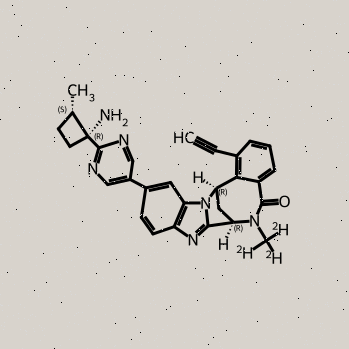 [2H]C([2H])([2H])N1C(=O)c2cccc(C#C)c2[C@H]2C[C@@H]1c1nc3ccc(-c4cnc([C@@]5(N)CC[C@@H]5C)nc4)cc3n12